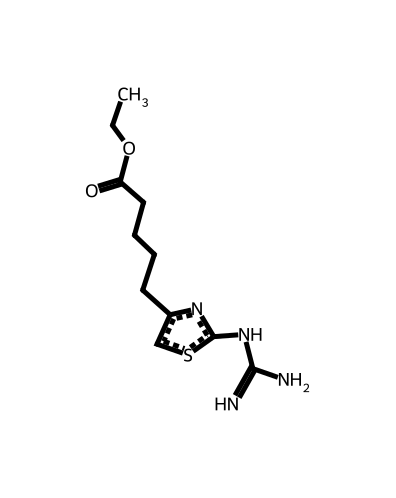 CCOC(=O)CCCCc1csc(NC(=N)N)n1